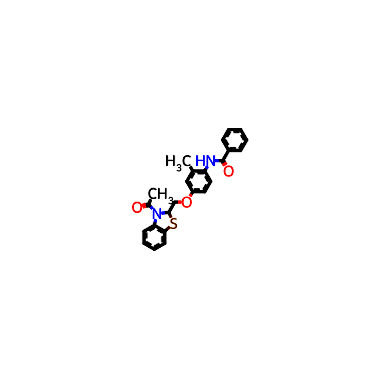 CC(=O)N1c2ccccc2SC1COc1ccc(NC(=O)c2ccccc2)c(C)c1